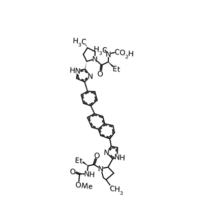 CC[C@H](NC(=O)OC)C(=O)N1CC(C)CC1c1nc(-c2ccc3cc(-c4ccc(-c5c[nH]c([C@@H]6C[C@H](C)CN6C(=O)[C@H](CC)N(C)C(=O)O)n5)cc4)ccc3c2)c[nH]1